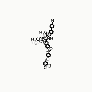 COC(=O)[C@H](Cc1ccc(-c2ccc(C#N)cc2)cc1)NC(=O)C1Cc2cc3c(cc2CN1C(=O)OC(C)(C)C)O[C@@H](c1ccc(OCc2ccc(Cl)c(Cl)c2)cc1)CO3